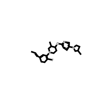 CC=CC1=CC(N2CCC(Oc3ccc(N4CCC(C)C4)cn3)C(C)C2)=C(F)CC1